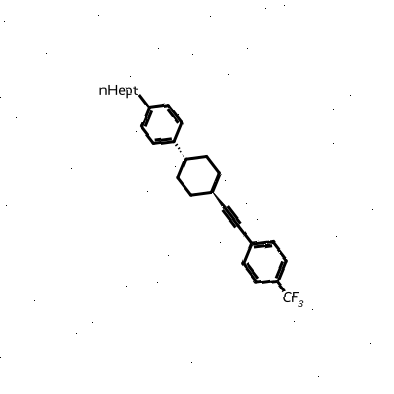 CCCCCCCc1ccc([C@H]2CC[C@H](C#Cc3ccc(C(F)(F)F)cc3)CC2)cc1